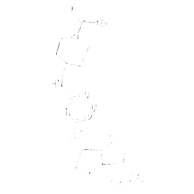 CC(=O)O[C@H]1CO[C@]2(C)[C@@H](Oc3ccnc(NC4CCN(C(=O)C(C)(C)C)CC4)n3)CO[C@]12C